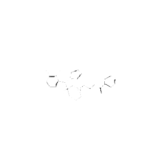 Cc1c(Br)ccc2c1C(n1cccc1)C1(CCCN(CCCC(=O)c3ccccc3)C1)O2